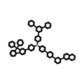 c1ccc(-c2cc(-c3ccccc3)cc(-c3ccc(N(c4ccc(-c5ccc(-c6cccc(-c7ccc8ccccc8c7)c6)cc5)cc4)c4ccc(-c5ccc6c(c5)C(c5ccccc5)(c5ccccc5)c5ccccc5-6)cc4)cc3)c2)cc1